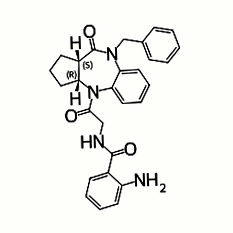 Nc1ccccc1C(=O)NCC(=O)N1c2ccccc2N(Cc2ccccc2)C(=O)[C@H]2CCC[C@H]21